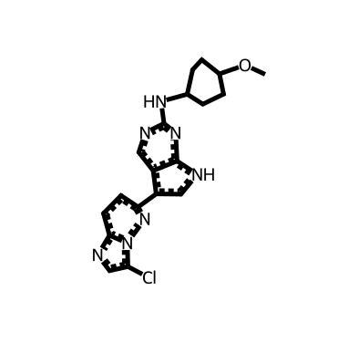 COC1CCC(Nc2ncc3c(-c4ccc5ncc(Cl)n5n4)c[nH]c3n2)CC1